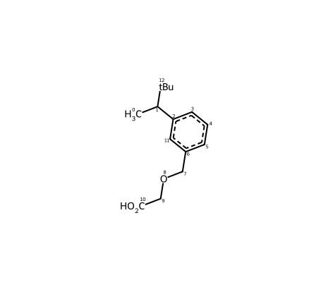 CC(c1cccc(COCC(=O)O)c1)C(C)(C)C